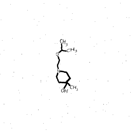 CC(C)OCCN1CCC(C)(O)CC1